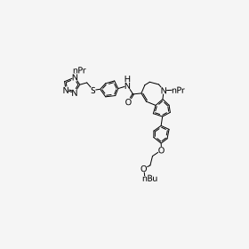 CCCCOCCOc1ccc(-c2ccc3c(c2)C=C(C(=O)Nc2ccc(SCc4nncn4CCC)cc2)CCCN3CCC)cc1